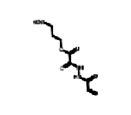 C=CC(=O)NNC(=O)C(=O)OCCCCCCCCCCC